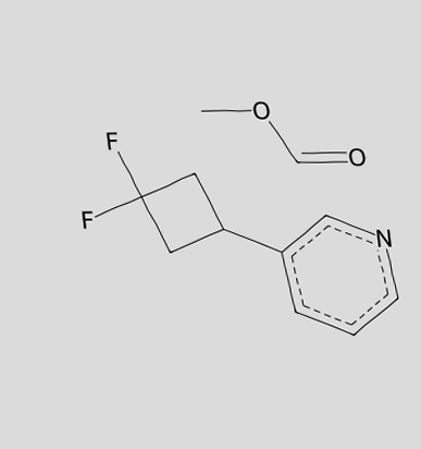 COC=O.FC1(F)CC(c2cccnc2)C1